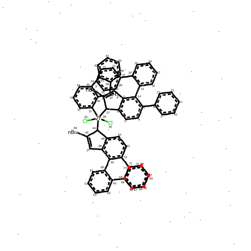 CCCCC1=Cc2c(ccc(-c3ccccc3)c2-c2ccccc2-c2ccccc2)[CH]1[Zr]([Cl])([Cl])([c]1cccc2c1[SiH2]c1ccccc1-2)[CH]1C(CCCC)=Cc2c1ccc(-c1ccccc1)c2-c1ccccc1-c1ccccc1